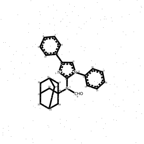 O=CN(c1nc(-c2ccccc2)cn1-c1ccccc1)C12CC3CC(CC(C3)C1)C2